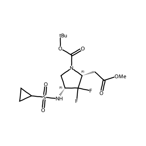 COC(=O)C[C@H]1N(C(=O)OC(C)(C)C)C[C@@H](NS(=O)(=O)C2CC2)C1(F)F